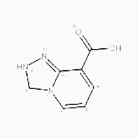 O=C(O)C1=CC=CN2CNN=C12